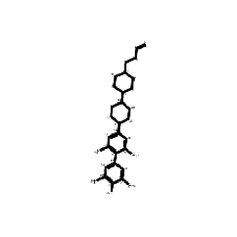 C=CCCC1CCC(C2CCC(c3cc(F)c(-c4cc(F)c(F)c(F)c4)c(F)c3)CC2)CC1